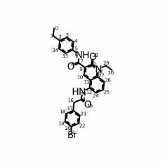 CCc1ccc(NC(=O)c2cc3c(NC(=O)Cc4ccc(Br)cc4)cccc3n(CC)c2=O)cc1